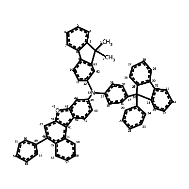 CC1(C)c2ccccc2-c2ccc(N(c3ccc(C4(c5ccccc5)c5ccccc5-c5ccccc54)cc3)c3ccc4c(c3)oc3cc(-c5ccccc5)c5ccccc5c34)cc21